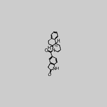 O=C1Cc2cc(C(=O)N3CCC[C@H]4c5ccccc5CC[C@H]43)ccc2N1